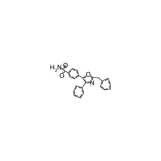 NS(=O)(=O)c1ccc(-c2oc(Cc3ccccc3)nc2-c2ccccc2)cc1